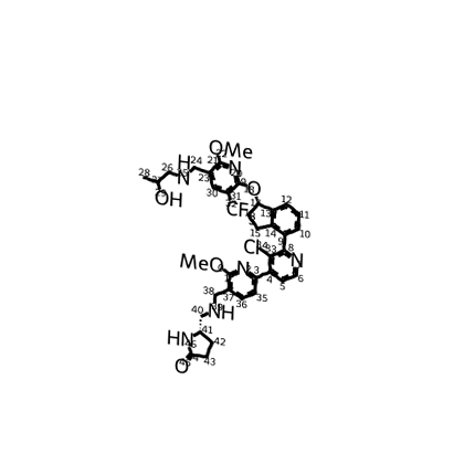 COc1nc(-c2ccnc(-c3cccc4c3CC[C@H]4Oc3nc(OC)c(CNCC(C)O)cc3C(F)(F)F)c2Cl)ccc1CNC[C@@H]1CCC(=O)N1